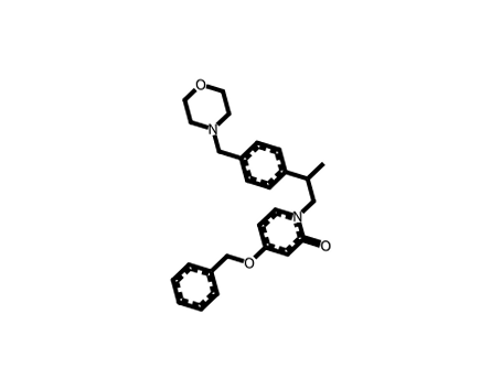 CC(Cn1ccc(OCc2ccccc2)cc1=O)c1ccc(CN2CCOCC2)cc1